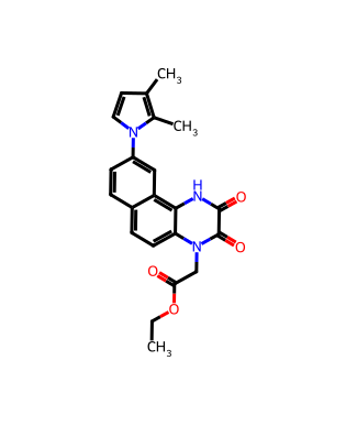 CCOC(=O)Cn1c(=O)c(=O)[nH]c2c3cc(-n4ccc(C)c4C)ccc3ccc21